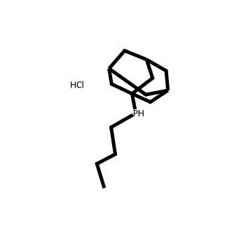 CCCCPC12CC3CC(CC(C3)C1)C2.Cl